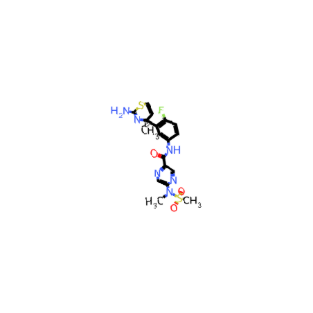 CN(c1cnc(C(=O)Nc2ccc(F)c([C@]3(C)C=CSC(N)=N3)c2)cn1)S(C)(=O)=O